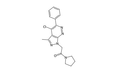 Cc1nn(CC(=O)N2CCCC2)c2nnc(-c3ccccc3)c(Cl)c12